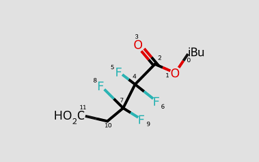 CCC(C)OC(=O)C(F)(F)C(F)(F)CC(=O)O